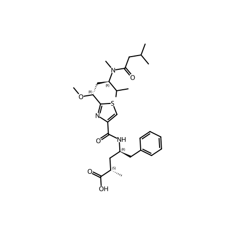 CO[C@H](C[C@H](C(C)C)N(C)C(=O)CC(C)C)c1nc(C(=O)N[C@@H](Cc2ccccc2)C[C@H](C)C(=O)O)cs1